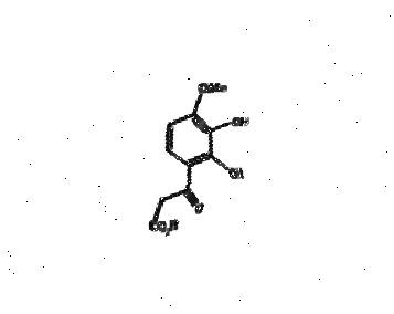 CCOC(=O)CC(=O)c1ccc(OC)c(O)c1O